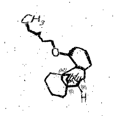 CCCCCOc1cccc2c1[C@@]13CCCC[C@H]1[C@@H](C2)NCC3